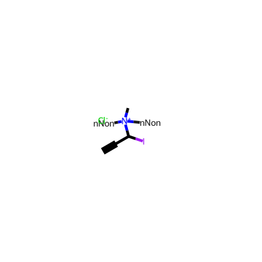 C#CC(I)[N+](C)(CCCCCCCCC)CCCCCCCCC.[Cl-]